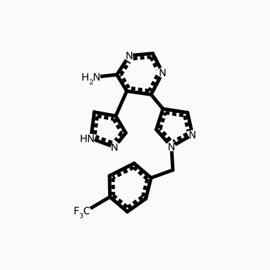 Nc1ncnc(-c2cnn(Cc3ccc(C(F)(F)F)cc3)c2)c1-c1cn[nH]c1